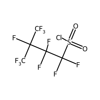 O=S(=O)(Cl)C(F)(F)C(F)(F)C(F)(C(F)(F)F)C(F)(F)F